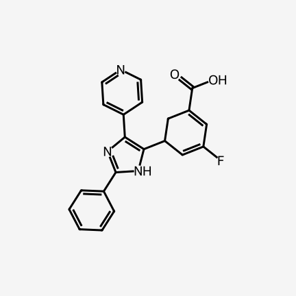 O=C(O)C1=CC(F)=CC(c2[nH]c(-c3ccccc3)nc2-c2ccncc2)C1